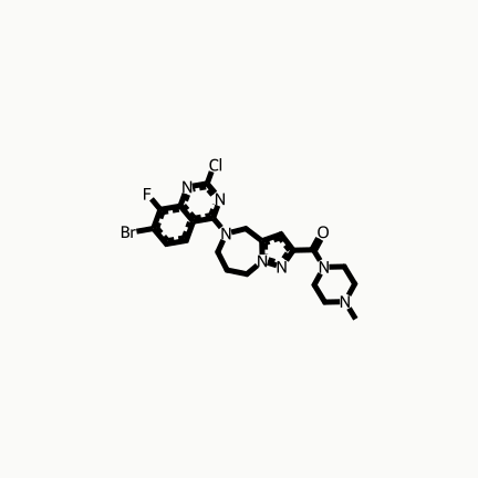 CN1CCN(C(=O)c2cc3n(n2)CCCN(c2nc(Cl)nc4c(F)c(Br)ccc24)C3)CC1